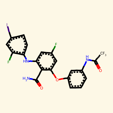 NC(=O)c1c(Nc2ccc(I)cc2F)cc(F)cc1Oc1cccc(NC(=O)C(F)(F)F)c1